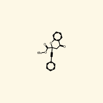 CC(C)(C)OC(=O)C1(C#Cc2ccccc2)CC(=O)c2ccccc2O1